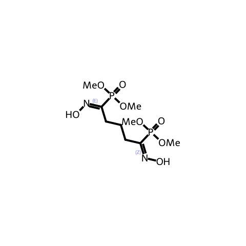 COP(=O)(OC)/C(CCC/C(=N\O)P(=O)(OC)OC)=N\O